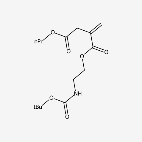 C=C(CC(=O)OCCC)C(=O)OCCNC(=O)OC(C)(C)C